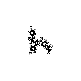 CN(C(=O)Oc1ccc(F)cc1)C1CN(C(=O)C2CCN(C(=O)C3(C)CC3)CC2)CC1c1ccc(F)cc1